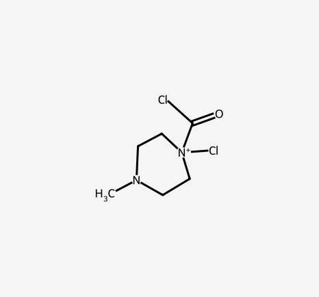 CN1CC[N+](Cl)(C(=O)Cl)CC1